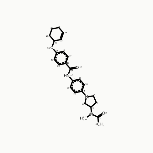 CC(=O)N(C)C1CCN(c2ccc(NC(=O)c3ccc(OC4C=CCCC4)cc3)cc2)C1